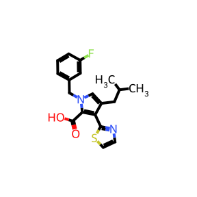 CC(C)Cc1cn(Cc2cccc(F)c2)c(C(=O)O)c1-c1nccs1